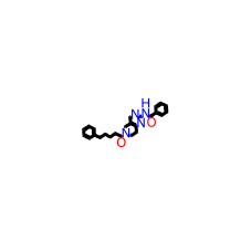 O=C(Nc1ncc2c(n1)CCN(C(=O)CCCCc1ccccc1)C2)c1ccccc1